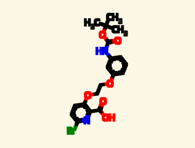 CC(C)(C)OC(=O)Nc1cccc(OCCOc2ccc(Br)nc2C(=O)O)c1